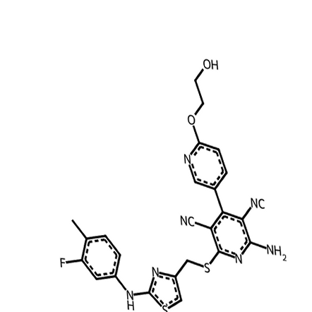 [C-]#[N+]c1c(N)nc(SCc2csc(Nc3ccc(C)c(F)c3)n2)c(C#N)c1-c1ccc(OCCO)nc1